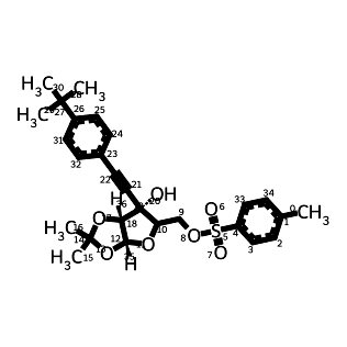 Cc1ccc(S(=O)(=O)OCC2O[C@@H]3OC(C)(C)O[C@@H]3[C@@]2(O)C#Cc2ccc(C(C)(C)C)cc2)cc1